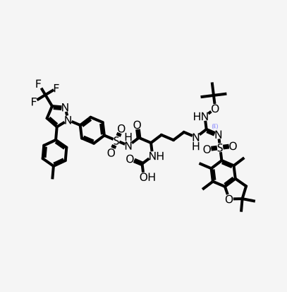 Cc1ccc(-c2cc(C(F)(F)F)nn2-c2ccc(S(=O)(=O)NC(=O)C(CCCN/C(=N\S(=O)(=O)c3c(C)c(C)c4c(c3C)CC(C)(C)O4)NOC(C)(C)C)NC(=O)O)cc2)cc1